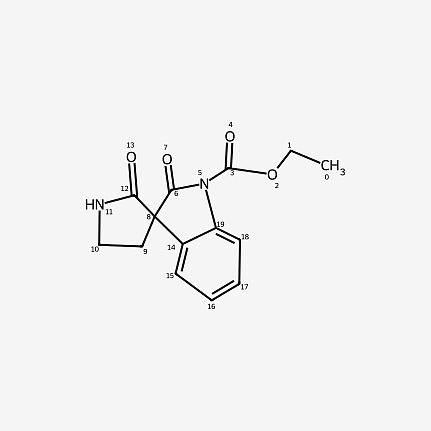 CCOC(=O)N1C(=O)C2(CCNC2=O)c2ccccc21